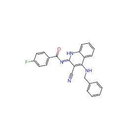 N#Cc1c(NCc2ccccc2)c2ccccc2[nH]/c1=N\C(=O)c1ccc(F)cc1